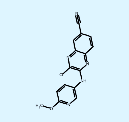 COc1ccc(Nc2nc3ccc(C#N)cc3nc2Cl)cn1